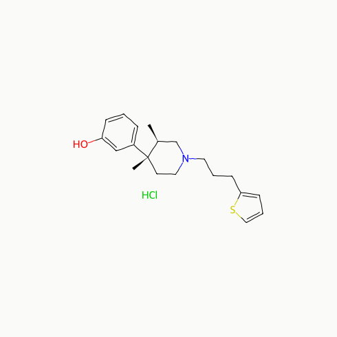 C[C@H]1CN(CCCc2cccs2)CC[C@]1(C)c1cccc(O)c1.Cl